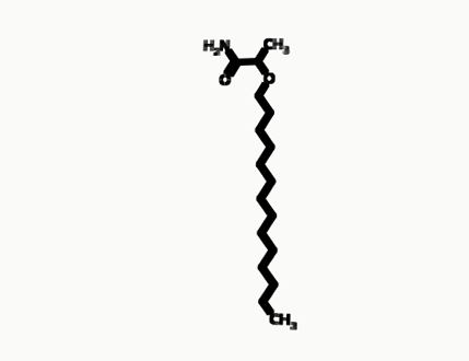 CCCCCCCCCCCCCCOC(C)C(N)=O